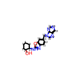 OC1CCCCC1Nc1nc2ccc(Cn3cnc4cncnc43)cc2o1